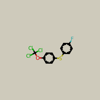 Fc1ccc(Sc2ccc(OC(Cl)(Cl)Cl)cc2)cc1